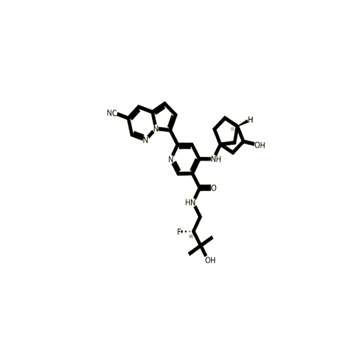 CC(C)(O)[C@H](F)CNC(=O)c1cnc(-c2ccc3cc(C#N)cnn23)cc1NC12CC[C@@H](C1)C(O)C2